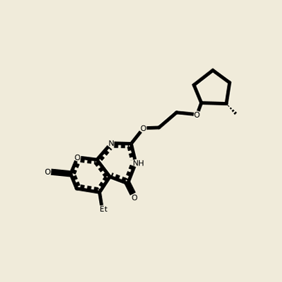 CCc1cc(=O)oc2nc(OCCOC3CCC[C@@H]3C)[nH]c(=O)c12